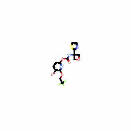 O=C(NC1(c2nccs2)COC1)Oc1ccc(Br)c(OCC(F)(F)F)n1